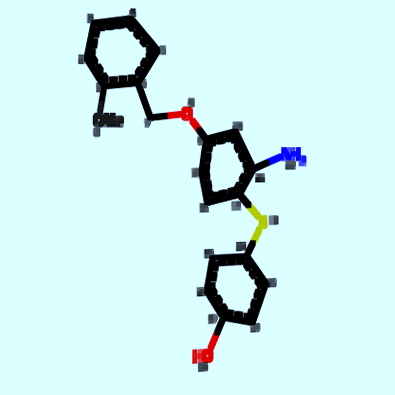 COc1ccccc1COc1ccc(Sc2ccc(O)cc2)c(N)c1